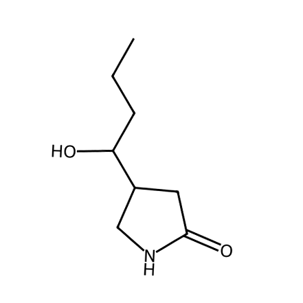 CCCC(O)C1CNC(=O)C1